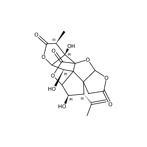 C=C(C)[C@@H]1[C@@H](O)C2OC(=O)C34OC5OC(=O)CC51C23[C@@H](O)C1OC(=O)[C@@H](C)[C@@]14O